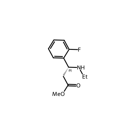 CCN[C@H](CC(=O)OC)c1ccccc1F